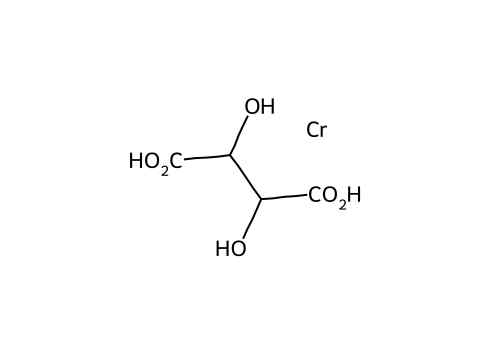 O=C(O)C(O)C(O)C(=O)O.[Cr]